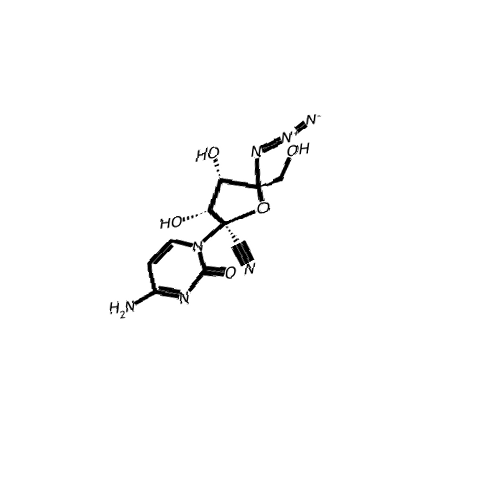 N#C[C@@]1(n2ccc(N)nc2=O)O[C@@](CO)(N=[N+]=[N-])[C@@H](O)[C@H]1O